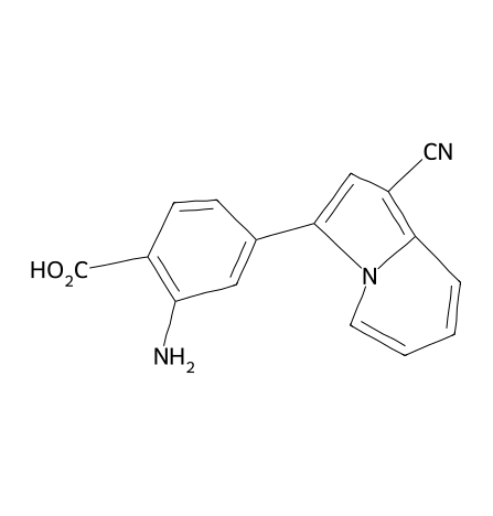 N#Cc1cc(-c2ccc(C(=O)O)c(N)c2)n2ccccc12